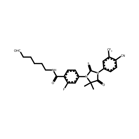 CC1(C)C(=O)N(c2ccc(C#N)c(C(F)(F)F)c2)C(=S)N1c1ccc(C(=O)NCCCCCC=O)c(F)c1